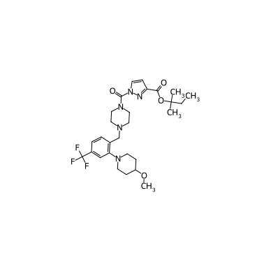 CCC(C)(C)OC(=O)c1ccn(C(=O)N2CCN(Cc3ccc(C(F)(F)F)cc3N3CCC(OC)CC3)CC2)n1